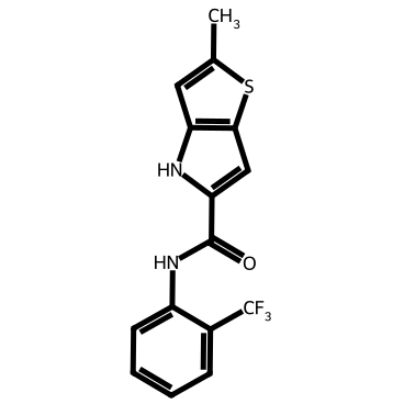 Cc1cc2[nH]c(C(=O)Nc3ccccc3C(F)(F)F)cc2s1